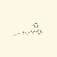 CCCCCOC(C)(C)c1nnc(-c2nn(-c3ccc(Cl)cc3Cl)c(-c3ccc(Cl)cc3)c2C)s1